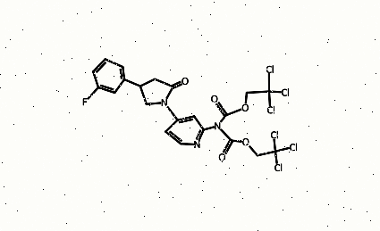 O=C1CC(c2cccc(F)c2)CN1c1ccnc(N(C(=O)OCC(Cl)(Cl)Cl)C(=O)OCC(Cl)(Cl)Cl)c1